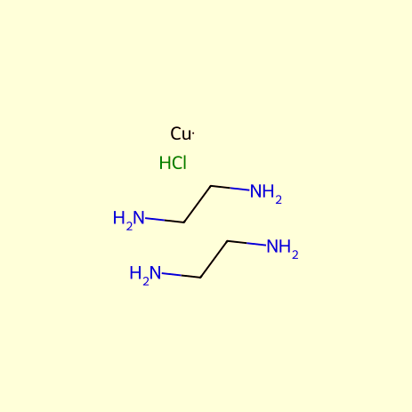 Cl.NCCN.NCCN.[Cu]